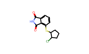 O=C1NC(=O)c2c(SC3CCCC3Cl)cccc21